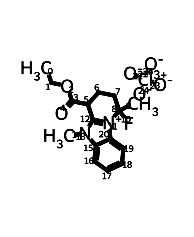 CCOC(=O)C1CCC(C)(F)[n+]2c1n(C)c1ccccc12.[O-][Cl+3]([O-])([O-])[O-]